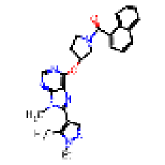 CCn1ncc(-c2nc3c(OC4CCN(C(=O)c5cccc6ccccc56)C4)ncnc3n2C)c1C